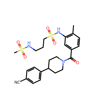 Cc1ccc(C(=O)N2CCC(c3ccc(C#N)cc3)CC2)cc1NS(=O)(=O)CCCNS(C)(=O)=O